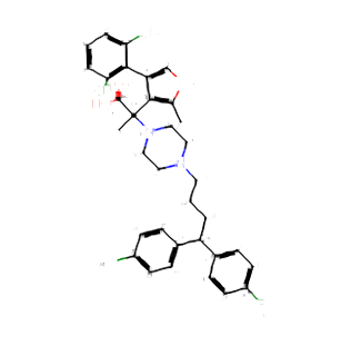 Cc1occ(-c2c(Cl)cccc2Cl)c1C(C)(C(=O)O)N1CCN(CCCC(c2ccc(F)cc2)c2ccc(F)cc2)CC1